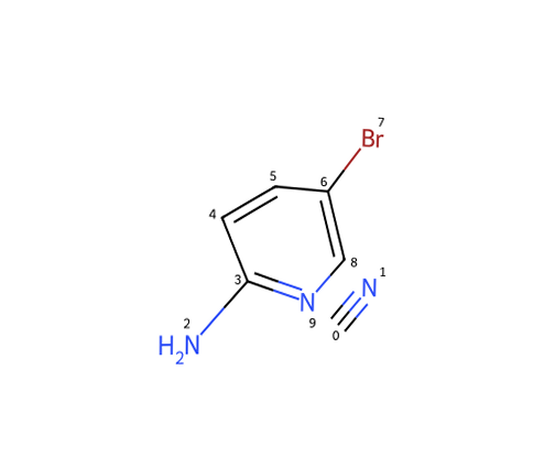 C#N.Nc1ccc(Br)cn1